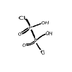 O=P(O)(Cl)P(=O)(O)Cl